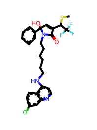 CSC(C1=CC(O)(c2ccccc2)N(CCCCCCNc2ccnc3cc(Cl)ccc23)C1=O)C(F)(F)F